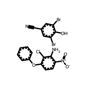 N#Cc1cc(Br)c(O)c(Br)c1.Nc1c([N+](=O)[O-])ccc(Oc2ccccc2)c1Cl